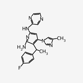 Cc1cn(-c2cc(Nc3cnccn3)nc(N)c2C(C)c2ccc(F)cc2)cn1